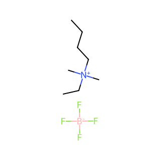 CCCC[N+](C)(C)CC.F[B-](F)(F)F